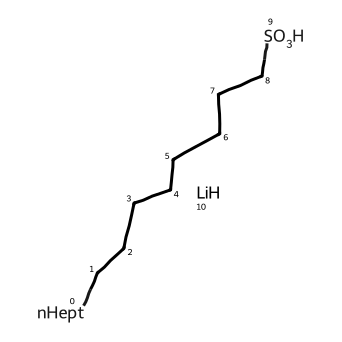 CCCCCCCCCCCCCCCS(=O)(=O)O.[LiH]